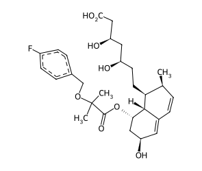 C[C@H]1C=CC2=C[C@@H](O)C[C@H](OC(=O)C(C)(C)OCc3ccc(F)cc3)[C@@H]2[C@H]1CC[C@@H](O)C[C@@H](O)CC(=O)O